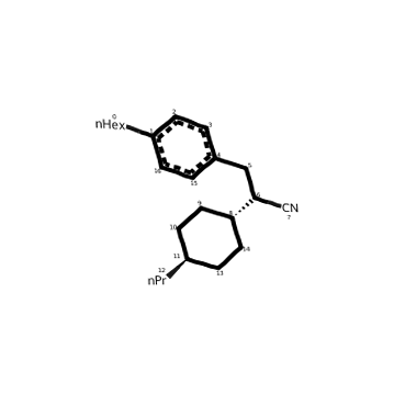 CCCCCCc1ccc(CC(C#N)[C@H]2CC[C@H](CCC)CC2)cc1